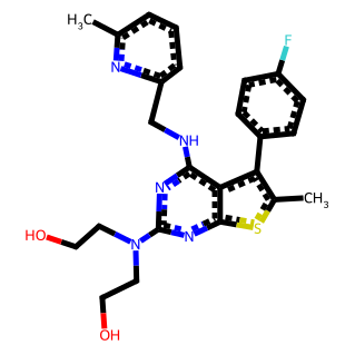 Cc1cccc(CNc2nc(N(CCO)CCO)nc3sc(C)c(-c4ccc(F)cc4)c23)n1